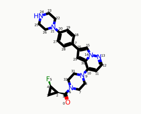 O=C([C@H]1C[C@H]1F)N1CCN(c2ccnn3cc(-c4ccc(N5CCNCC5)cc4)cc23)CC1